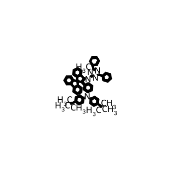 CC(C)(C)c1ccc(N(c2ccc(C(C)(C)C)cc2)c2ccc3c(c2)c2c(n3-c3nc(-c4ccccc4)nc(C4(C)C=CC=CC4)n3)-c3ccccc3C23c2ccccc2-c2ccccc23)cc1